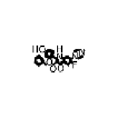 CN1CCN(c2cc3[nH]c(-c4ccc(O)cc4)c(C(=O)OCc4ccccc4)c(=O)c3cc2F)CC1